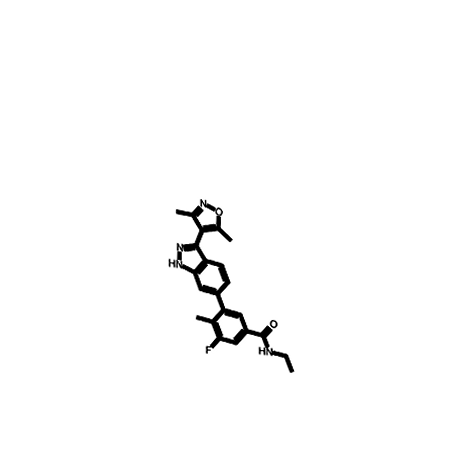 CCNC(=O)c1cc(F)c(C)c(-c2ccc3c(-c4c(C)noc4C)n[nH]c3c2)c1